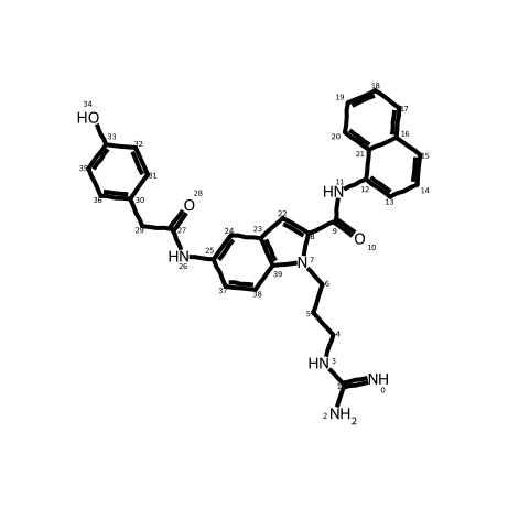 N=C(N)NCCCn1c(C(=O)Nc2cccc3ccccc23)cc2cc(NC(=O)Cc3ccc(O)cc3)ccc21